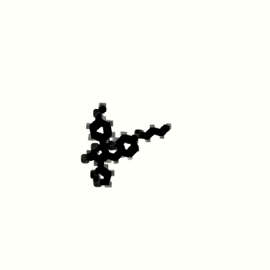 CCCCOc1ccc(CC2=C(C3=CCOO3)C(=O)OC2(O)c2ccc(OC)cc2)cc1